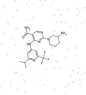 CC(C)c1cc(Nc2nc(N3CCCC(N)C3)ncc2C(N)=O)cc(C(F)(F)F)n1